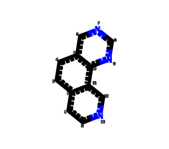 c1cc2ccc3cncnc3c2cn1